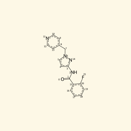 O=C(Nc1ccn(Cc2ccncc2)n1)c1ccccc1F